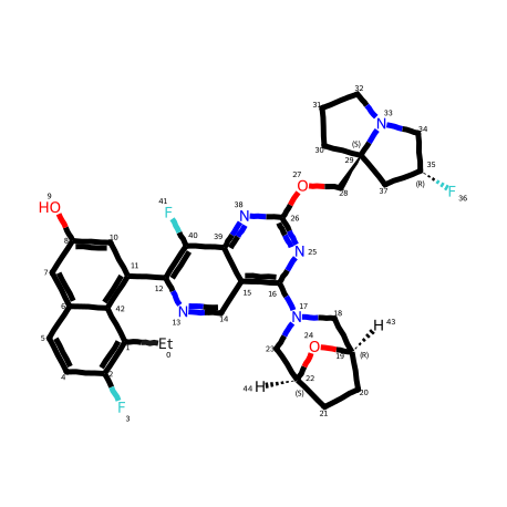 CCc1c(F)ccc2cc(O)cc(-c3ncc4c(N5C[C@H]6CC[C@@H](C5)O6)nc(OC[C@@]56CCCN5C[C@H](F)C6)nc4c3F)c12